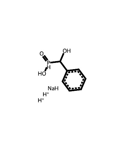 O=[PH](O)C(O)c1ccccc1.[H+].[H+].[NaH]